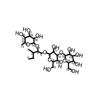 CCC(C)C(COC1OC(CO)C(O)C(OC2OC(CO)C(O)C(O)C2O)C1O)OC1OC(C)C(O)C(O)C1O